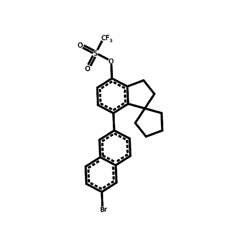 O=S(=O)(Oc1ccc(-c2ccc3cc(Br)ccc3c2)c2c1CCC21CCCC1)C(F)(F)F